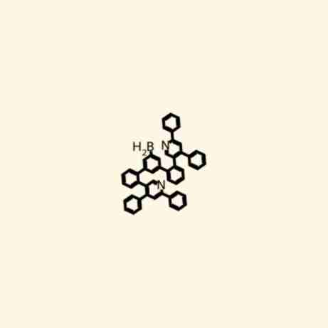 Bc1cc(-c2ccccc2-c2cnc(-c3ccccc3)cc2-c2ccccc2)cc(-c2ccccc2-c2cnc(-c3ccccc3)cc2-c2ccccc2)c1